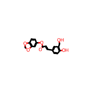 O=C(/C=C/c1ccc(O)c(CO)c1)Oc1ccc2c(c1)OCO2